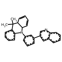 CC1(C)c2ccccc2N(c2cccc(-c3cnc4ccccc4c3)c2)C2C=CC=CC21